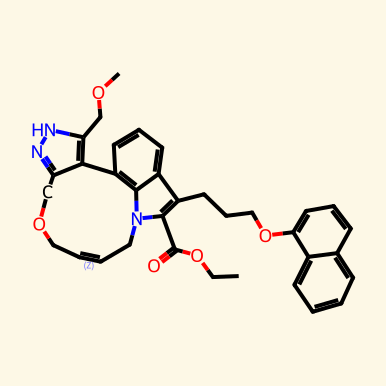 CCOC(=O)c1c(CCCOc2cccc3ccccc23)c2cccc3c2n1C/C=C\COCc1n[nH]c(COC)c1-3